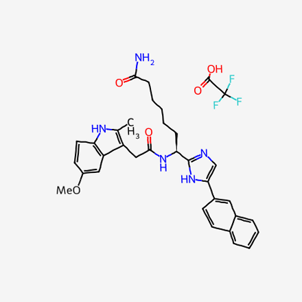 COc1ccc2[nH]c(C)c(CC(=O)N[C@@H](CCCCCC(N)=O)c3ncc(-c4ccc5ccccc5c4)[nH]3)c2c1.O=C(O)C(F)(F)F